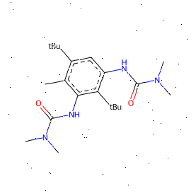 Cc1c(C(C)(C)C)cc(NC(=O)N(C)C)c(C(C)(C)C)c1NC(=O)N(C)C